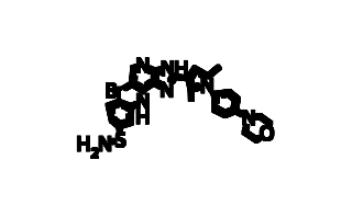 Cc1cc(-c2nc3c(Nc4cccc(SN)c4)c(Br)cnc3[nH]2)c(C)n1-c1ccc(N2CCOCC2)cc1